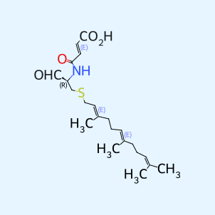 CC(C)=CCC/C(C)=C/CC/C(C)=C/CSC[C@@H](C=O)NC(=O)/C=C/C(=O)O